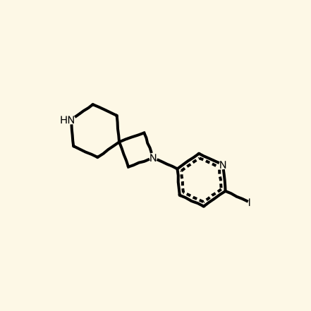 Ic1ccc(N2CC3(CCNCC3)C2)cn1